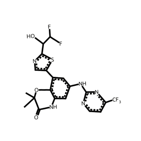 CC1(C)Oc2c(cc(Nc3nccc(C(F)(F)F)n3)cc2-c2cnc(C(O)C(F)F)s2)NC1=O